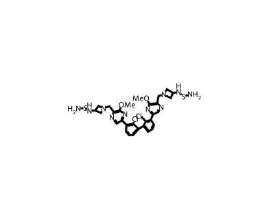 COc1nc(-c2cccc(-c3cccc(-c4cnc(CN5CC(NSN)C5)c(OC)n4)c3Cl)c2Cl)cnc1CN1CC(NSN)C1